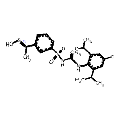 C/C(=N\O)c1cccc(S(=O)(=O)NC(=O)Nc2c(C(C)C)cc(Cl)cc2C(C)C)c1